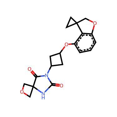 O=C1NC2(COC2)C(=O)N1C1CC(Oc2cccc3c2C2(CC2)CO3)C1